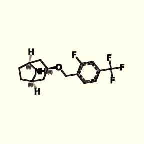 Fc1cc(C(F)(F)F)ccc1CO[C@H]1C[C@H]2CC[C@@H](C1)N2